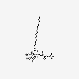 CCC=CCC=CCC=CCC=CCC=CCCCC(=O)N[C@](CCCCNC(=O)C=CC(=O)OC)(C(=O)O)C(CO)CO